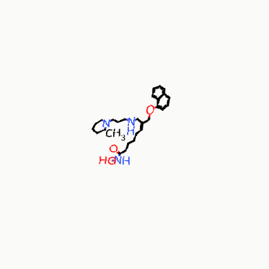 CC1CCCCN1CCCNCC(=CCCCCC(=O)NO)COc1cccc2ccccc12